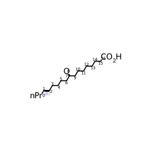 CCC/C=C/CCCCC(=O)CCCCCCCC(=O)O